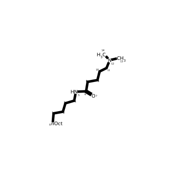 CCCCCCCCCCCCNC(=O)CCCCN(C)C